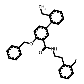 CCc1ccccc1-c1ccc(OCc2ccccc2)c(C(=O)NCCc2ccccc2F)c1